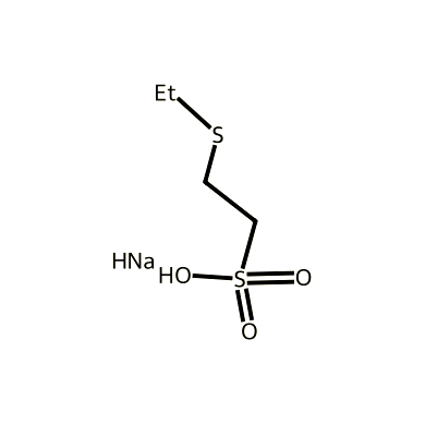 CCSCCS(=O)(=O)O.[NaH]